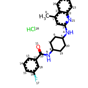 Cc1cc(NC2CCC(NC(=O)c3cccc(F)c3)CC2)nc2ccccc12.Cl